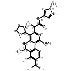 COc1nc(N[C@H](C)c2cccc(C(F)F)c2F)c(C2OCCO2)c(C(C)C(=O)Nc2cnn(C)c2)n1